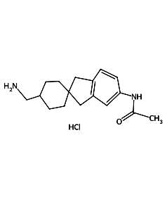 CC(=O)Nc1ccc2c(c1)CC1(CCC(CN)CC1)C2.Cl